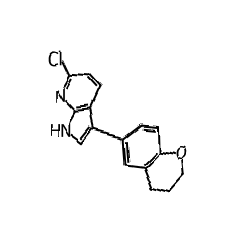 Clc1ccc2c(-c3ccc4c(c3)CCCO4)c[nH]c2n1